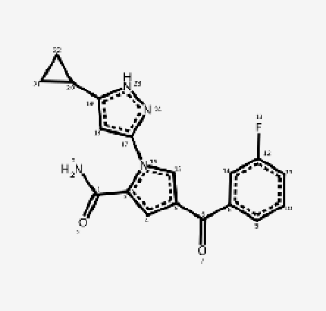 NC(=O)c1cc(C(=O)c2cccc(F)c2)cn1-c1cc(C2CC2)[nH]n1